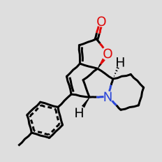 Cc1ccc(C2=CC3=CC(=O)O[C@@]34C[C@@H]2N2CCCC[C@@H]24)cc1